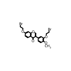 COc1ccc(-c2coc3cc(OCCBr)ccc3c2=O)cc1OCCBr